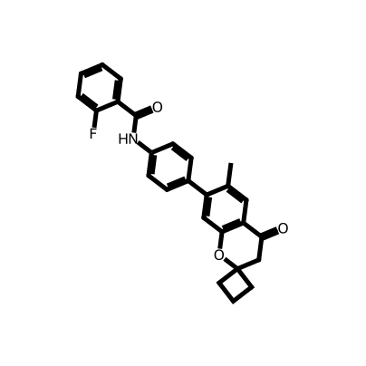 Cc1cc2c(cc1-c1ccc(NC(=O)c3ccccc3F)cc1)OC1(CCC1)CC2=O